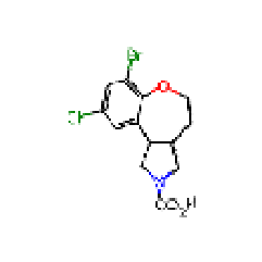 O=C(O)N1CC2CCOc3c(Br)cc(Cl)cc3C2C1